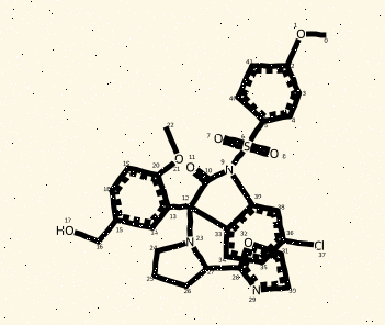 COc1ccc(S(=O)(=O)N2C(=O)C(c3cc(CO)ccc3OC)(N3CCCC3c3ncco3)c3ccc(Cl)cc32)cc1